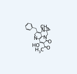 CC(=O)c1c(O)c2ncc(Cc3ccccc3)c3c2n(c1=O)CC1(CC1)N3C